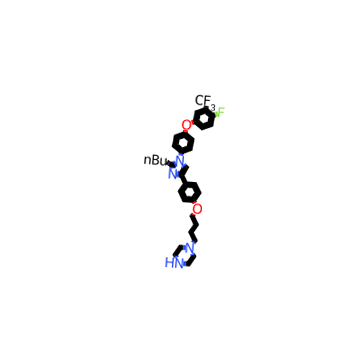 CCCCc1nc(-c2ccc(OCCCCN3CCNCC3)cc2)cn1-c1ccc(Oc2ccc(F)c(C(F)(F)F)c2)cc1